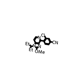 CCC(CC)n1c(OC)nc2c(-c3ccc(C#N)cc3Cl)nccc21